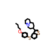 CCCCOc1ccc(Sc2ccc3scc(C4CCC5CCCCN5CC4)c3c2)cc1